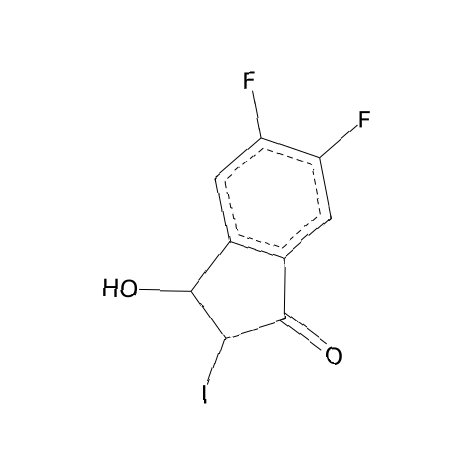 O=C1c2cc(F)c(F)cc2C(O)C1I